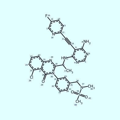 CC(Nc1ncnc(N)c1C#Cc1ccc(F)cn1)c1nc2cccc(Cl)c2c(=O)n1-c1cccc(CN(C)S(C)(=O)=O)c1